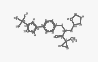 CC1(C(=O)N(Cc2ccc(-c3noc(C(F)(F)F)n3)cc2)CC2CCCO2)CC1